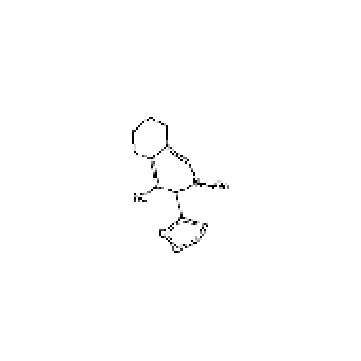 CCCCN1C=C2CCCCC2=C(C#N)C1c1ccco1